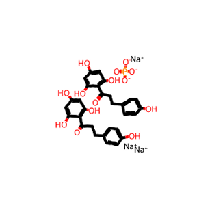 O=C(CCc1ccc(O)cc1)c1c(O)cc(O)cc1O.O=C(CCc1ccc(O)cc1)c1c(O)cc(O)cc1O.O=P([O-])([O-])[O-].[Na+].[Na+].[Na+]